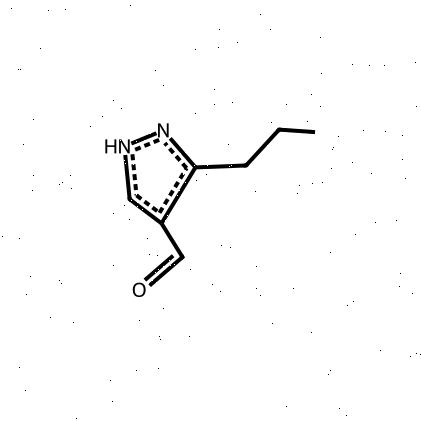 CCCc1n[nH]cc1C=O